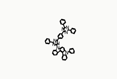 c1ccc(-c2nc(-c3ccccc3)nc(-c3ccc(-c4nc(-c5ccccc5)nc(-n5c6ccccc6c6c7c8ccccc8n(-c8ccccc8)c7ccc65)n4)cc3)n2)cc1